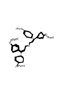 CCCCCOc1ccc(C(=CCOCC=C(c2ccc(OCCCCC)cc2)[C@H]2CC[C@H](CCCCC)CC2)[C@H]2CC[C@H](CCCCC)CC2)cc1